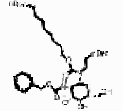 CCCCCCCCCCCCCCCCCCOC(=O)N(CCCCCCCCCCCC)[C@@H]1O[C@H](CO)[C@@H](O)[C@H](O)[C@H]1NC(=O)OCc1ccccc1